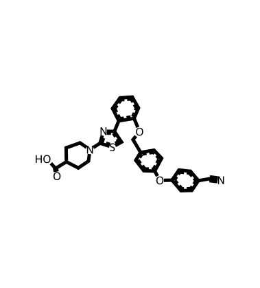 N#Cc1ccc(Oc2ccc(COc3ccccc3-c3csc(N4CCC(C(=O)O)CC4)n3)cc2)cc1